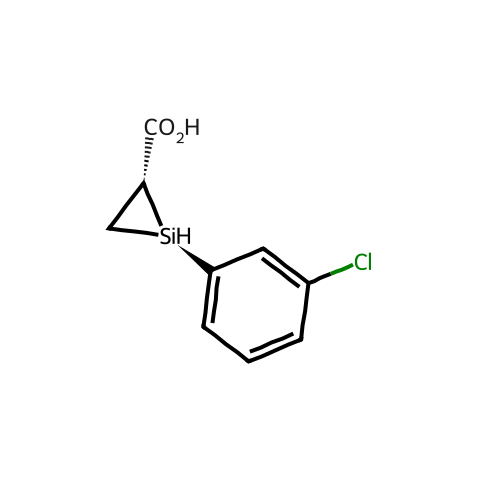 O=C(O)[C@H]1C[Si@@H]1c1cccc(Cl)c1